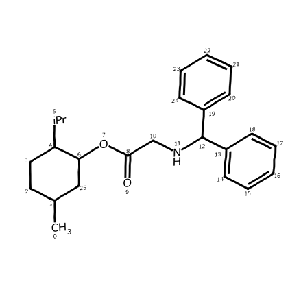 CC1CCC(C(C)C)C(OC(=O)CNC(c2ccccc2)c2ccccc2)C1